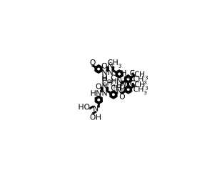 Cc1c(NC(=O)c2ccc(C(C)(C)C)c(-c3cc(C(C)(C)C)ccc3C(=O)Nc3cccc(-c4cn(C)c(=O)c(Nc5ccc(C=O)cc5)n4)c3C)c2)cccc1-c1cn(C)c(=O)c(Nc2ccc(CN(CCO)CCO)cc2)n1